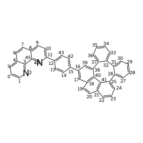 c1cnc2c(c1)ccc1ccc(-c3ccc(-c4cc5ccc6cccc7c8ccccc8c8ccccc8c(c4)c5c67)cc3)nc12